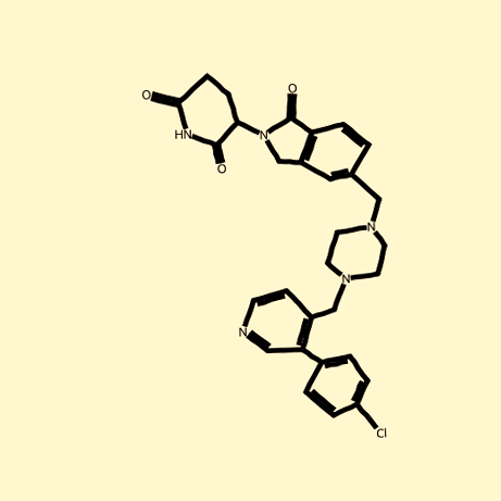 O=C1CCC(N2Cc3cc(CN4CCN(Cc5ccncc5-c5ccc(Cl)cc5)CC4)ccc3C2=O)C(=O)N1